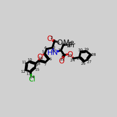 COC(=O)C(Cc1ccc(-c2cccc(Cl)c2)o1)NC(CC(C)C)C(=O)OCc1ccccc1